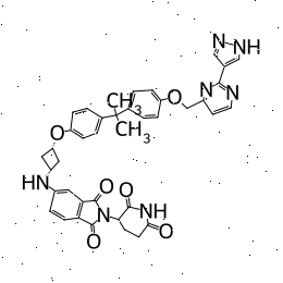 CC(C)(c1ccc(OCc2ccnc(-c3cn[nH]c3)n2)cc1)c1ccc(O[C@H]2C[C@@H](Nc3ccc4c(c3)C(=O)N(C3CCC(=O)NC3=O)C4=O)C2)cc1